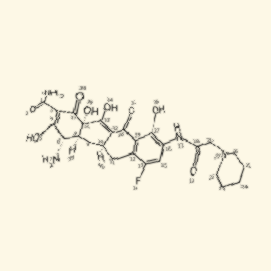 NC(=O)C1=C(O)[C@@H](N)[C@@H]2C[C@@H]3Cc4c(F)cc(NC(=O)CN5CCCCC5)c(O)c4C(=O)C3=C(O)[C@]2(O)C1=O